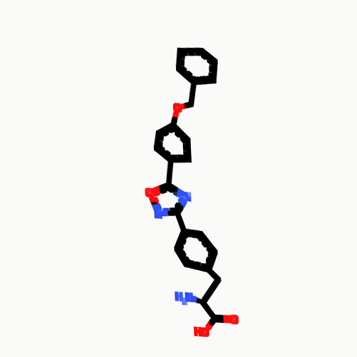 N[C@@H](Cc1ccc(-c2noc(-c3ccc(OCc4ccccc4)cc3)n2)cc1)C(=O)O